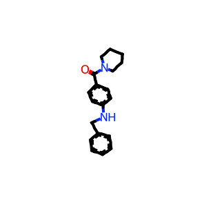 O=C(c1ccc(NCc2ccccc2)cc1)N1CCCCC1